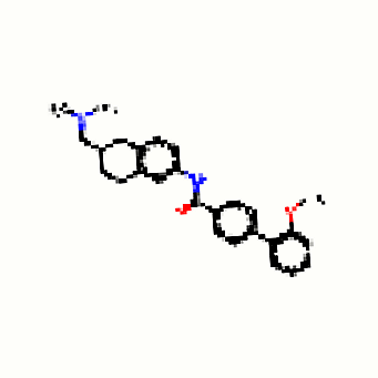 COc1ccccc1-c1ccc(C(=O)Nc2ccc3c(c2)CCC(CN(C)C)C3)cc1